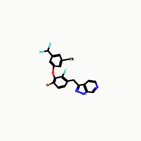 N#Cc1cc(Oc2c(Br)ccc(Cc3n[nH]c4cnccc34)c2F)cc(C(F)F)c1